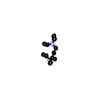 c1cc(-c2ccc(-c3cc4c(-c5ccc6ccccc6c5)nc5ccccc5c4c4ccccc34)cc2)cc(-c2nc(-c3ccc4ccccc4c3)nc(-c3ccc4ccccc4c3)n2)c1